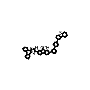 CC1(C)c2cc(-c3cccc(-c4ccc(-c5ccc6sc7ccccc7c6c5)cc4)c3)ccc2-c2ccc(-c3cnc4c5ccccc5c5ccccc5c4n3)cc21